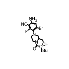 CC(C)(C)OC(=O)N1CCN(c2c(Br)cc(N)c(C#N)c2F)CC1CO